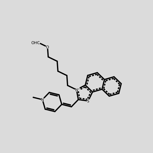 CN1C=CC(=Cc2sc3c4ccccc4ccc3[n+]2CCCCCOC=O)C=C1